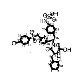 O=C(O)N[C@@H](Cc1ccccc1)C(=O)N[C@@H](Cc1ccc(NS(=O)(=O)O)cc1)c1csc(CS(=O)(=O)c2ccc(Cl)cc2)n1